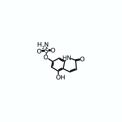 NS(=O)(=O)Oc1cc(O)c2ccc(=O)[nH]c2c1